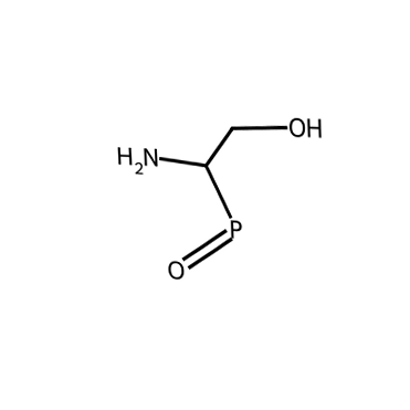 NC(CO)P=O